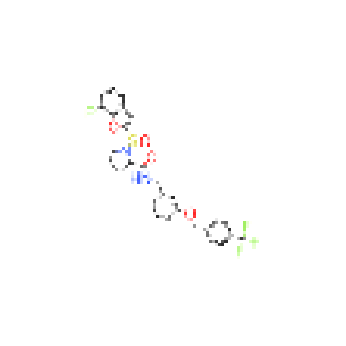 O=C(NCc1cccc(OCc2ccc(C(F)(F)F)cc2)c1)C1CCCN1[S+]([O-])c1cc2cccc(F)c2o1